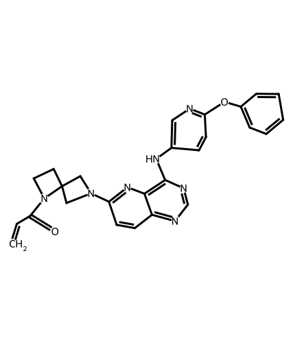 C=CC(=O)N1CCC12CN(c1ccc3ncnc(Nc4ccc(Oc5ccccc5)nc4)c3n1)C2